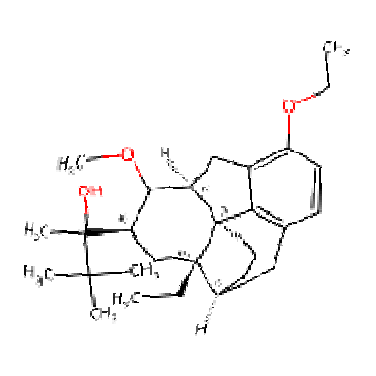 CCOc1ccc2c3c1C[C@@H]1C(OC)[C@H](C(C)(O)C(C)(C)C)C[C@@]4(CC)[C@@H](CCC[C@@]314)C2